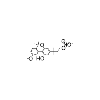 COc1ccc2c(c1)-c1c(O)cc(C(C)(C)CCO[N+](=O)[O-])cc1OC2(C)C